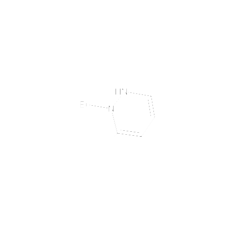 CCN1NC=[C]C=C1C